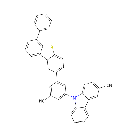 N#Cc1cc(-c2ccc3sc4c(-c5ccccc5)cccc4c3c2)cc(-n2c3ccccc3c3cc(C#N)ccc32)c1